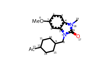 COc1ccc2c(c1)n(CC1CCC(C(C)=O)CC1)c(=O)n2C